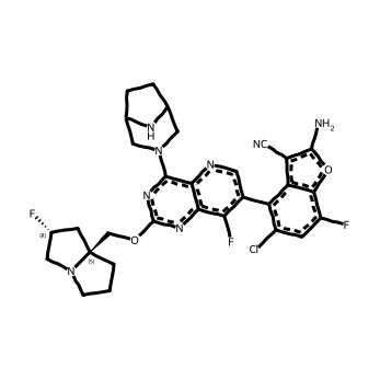 N#Cc1c(N)oc2c(F)cc(Cl)c(-c3cnc4c(N5CC6CCC(C5)N6)nc(OC[C@@]56CCCN5C[C@H](F)C6)nc4c3F)c12